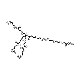 COC(=O)CCOCCOCCOCCOCCOCCC(=O)NC(COCCC(=O)NCCCN)(COCCC(=O)NCCCN)COCCC(=O)NCCCN